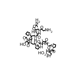 CC(C)C[C@H](NC(=O)[C@@H]1CCCN1C(=O)CNC(=O)[C@H](C)NC(=O)[C@@H]1CCCN1C(=O)CNC(=O)[C@@H](NC(=O)[C@@H]1CCCN1C(=O)CNC(=O)[C@H](C)NC(=O)[C@H](CC(N)=O)NC(=O)CN)[C@@H](C)O)C(=O)O